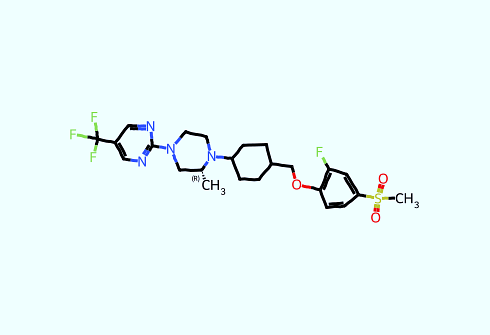 C[C@@H]1CN(c2ncc(C(F)(F)F)cn2)CCN1C1CCC(COc2ccc(S(C)(=O)=O)cc2F)CC1